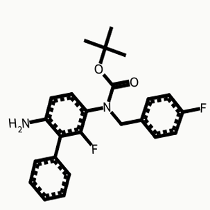 CC(C)(C)OC(=O)N(Cc1ccc(F)cc1)c1ccc(N)c(-c2ccccc2)c1F